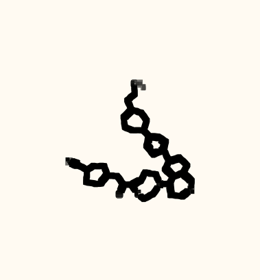 CCCC1=CCCC(c2ccc(C3=CCC4=CN=CC=C(N5CC/C=C(\C(=O)CC6=CCCC(C#N)CC6)CCC5)C4=C3)cc2)CC1